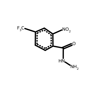 NNC(=O)c1ccc(C(F)(F)F)cc1[N+](=O)[O-]